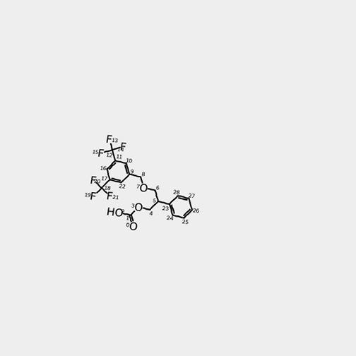 O=C(O)OCC(COCc1cc(C(F)(F)F)cc(C(F)(F)F)c1)c1ccccc1